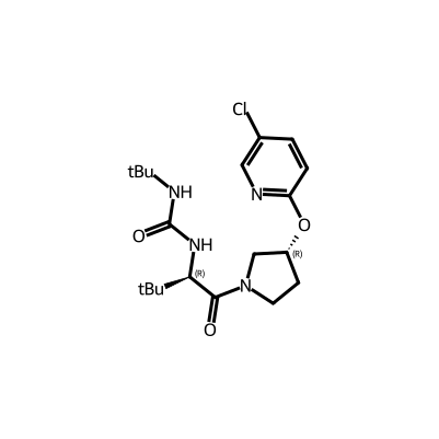 CC(C)(C)NC(=O)N[C@@H](C(=O)N1CC[C@@H](Oc2ccc(Cl)cn2)C1)C(C)(C)C